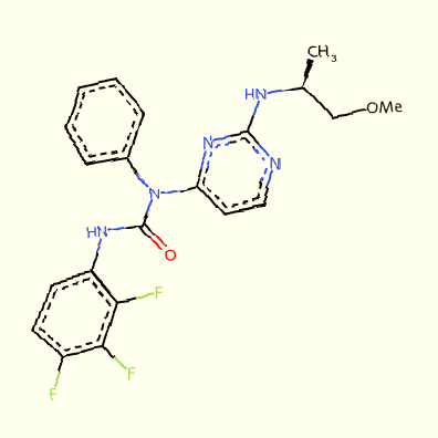 COC[C@H](C)Nc1nccc(N(C(=O)Nc2ccc(F)c(F)c2F)c2ccccc2)n1